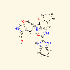 O=C=C[C@H](C[C@@H]1CCNC1=C=O)NC(=C=O)[C@H](CC1CCCCC1)NC(=O)c1nc2ccccc2[nH]1